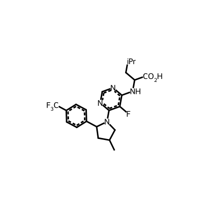 CC(C)CC(Nc1ncnc(N2CC(C)CC2c2ccc(C(F)(F)F)cc2)c1F)C(=O)O